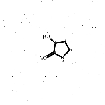 O=C1[N]CC[C@@H]1O